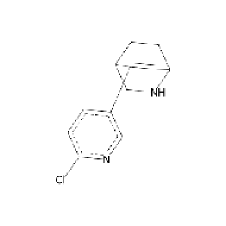 Clc1ccc(C2=CC3CCC2CN3)cn1